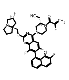 C=C(F)C(=O)N1CCN(c2nc(OC[C@@]34CCCN3C[C@H](F)C4)nc3c(F)c(-c4cccc5ccc(F)c(Cl)c45)c(F)cc23)C[C@@H]1CC#N